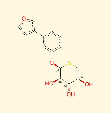 O[C@@H]1[C@@H](O)[C@@H](Oc2cccc(-c3ccoc3)c2)SC[C@H]1O